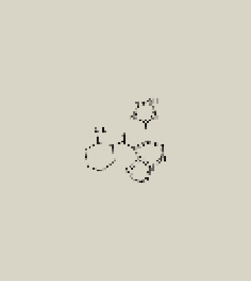 CC1CCCCC1Nc1c(-c2nn[nH]n2)cnn2ccnc12